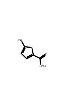 CCCCc1ccc(C(=O)OC)s1